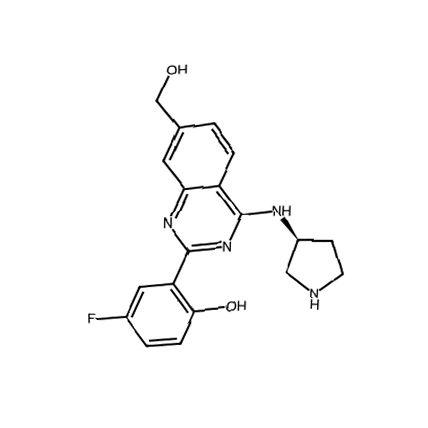 OCc1ccc2c(N[C@H]3CCNC3)nc(-c3cc(F)ccc3O)nc2c1